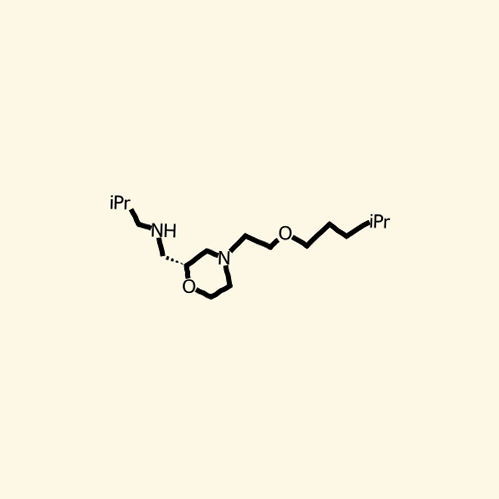 CC(C)CCCOCCN1CCO[C@H](CNCC(C)C)C1